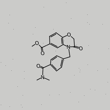 COC(=O)c1ccc2c(c1)N(Cc1ccc(C(=O)N(C)C)cc1)C(=O)CO2